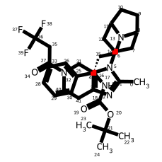 Cc1nc2c(n1C1CC3CCC(C1)N3CC[C@H](NC(=O)OC(C)(C)C)c1ccccc1)CN(C(=O)CC(F)(F)F)CC2